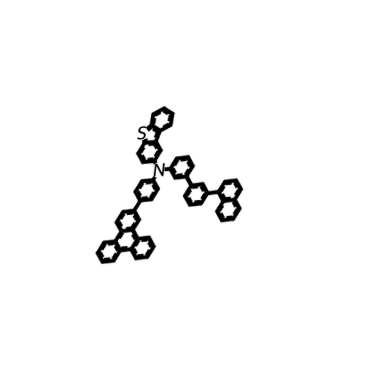 c1cc(-c2cccc(N(c3ccc(-c4ccc5c6ccccc6c6ccccc6c5c4)cc3)c3ccc4sc5ccccc5c4c3)c2)cc(-c2cccc3ccccc23)c1